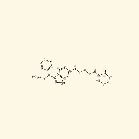 O=C(O)CC(c1ccccc1)c1c[nH]c2cc(OCCCNC3=NCCCN3)ccc12